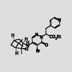 CCOC(=O)C(Cc1ccncc1)n1ncc(N[C@@H]2C[C@@H]3C[C@H]([C@H]2C)C3(C)C)c(Br)c1=O